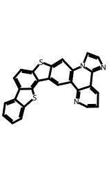 c1ccc2c(c1)sc1c2ccc2sc3cc4c(cc3c21)c1ncccc1c1nccn41